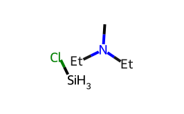 CCN(C)CC.[SiH3]Cl